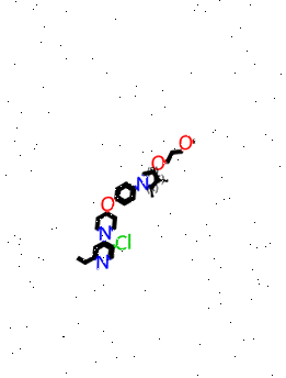 CCc1cc(N2CCC(Oc3ccc(N4C[C@H](OCCCOC)[C@@H](C)[C@H]4C)cc3)CC2)c(Cl)cn1